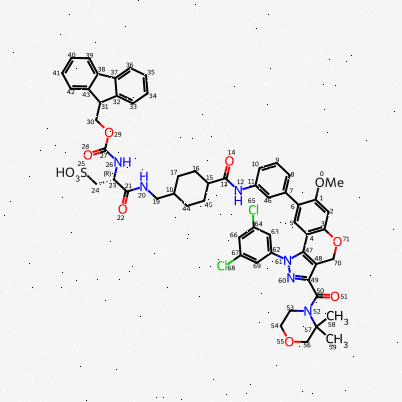 COc1cc2c(cc1-c1cccc(NC(=O)C3CCC(CNC(=O)[C@H](CS(=O)(=O)O)NC(=O)OCC4c5ccccc5-c5ccccc54)CC3)c1)-c1c(c(C(=O)N3CCOCC3(C)C)nn1-c1cc(Cl)cc(Cl)c1)CO2